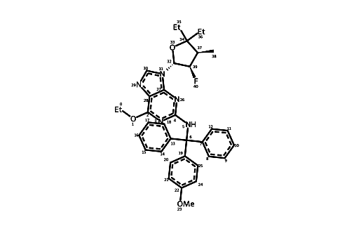 CCOc1nc(NC(c2ccccc2)(c2ccccc2)c2ccc(OC)cc2)nc2c1ncn2[C@@H]1OC(CC)(CC)[C@@H](C)[C@H]1F